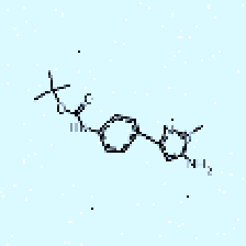 Cn1nc(-c2ccc(NC(=O)OC(C)(C)C)cc2)cc1N